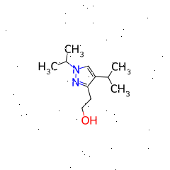 CC(C)c1cn(C(C)C)nc1CCO